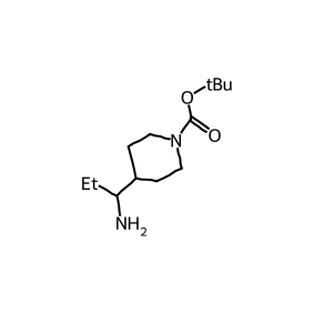 CCC(N)C1CCN(C(=O)OC(C)(C)C)CC1